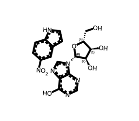 O=[N+]([O-])c1ccc2[nH]ccc2c1.OC[C@H]1O[C@@H](n2cnc3c(O)ncnc32)[C@H](O)[C@@H]1O